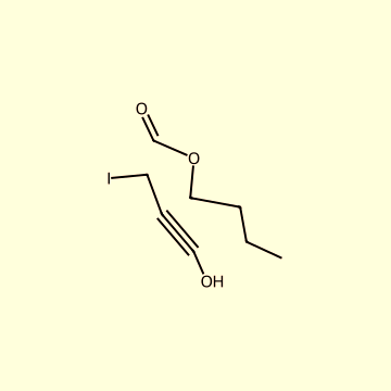 CCCCOC=O.OC#CCI